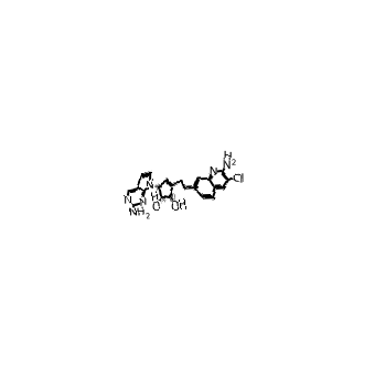 Nc1ncc2ccn([C@@H]3C=C(CCc4ccc5cc(Cl)c(N)nc5c4)[C@@H](O)[C@H]3O)c2n1